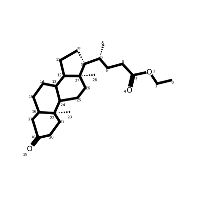 CCOC(=O)CC[C@@H](C)[C@H]1CCC2C3CCC4CC(=O)CC[C@]4(C)C3CC[C@@]21C